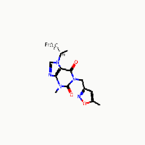 CCOC(=O)[C@H](C)n1cnc2c1c(=O)n(Cc1cc(C)on1)c(=O)n2C